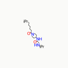 CC(C)CCCCCC(=O)N1CCC(NC(=O)CNC(C)C)CC1